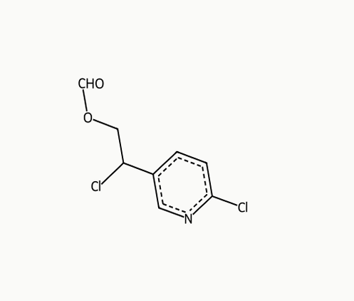 O=COCC(Cl)c1ccc(Cl)nc1